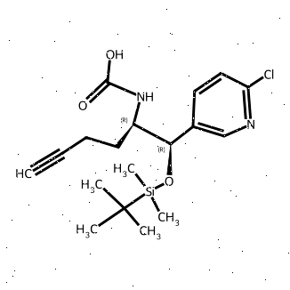 C#CCC[C@@H](NC(=O)O)[C@H](O[Si](C)(C)C(C)(C)C)c1ccc(Cl)nc1